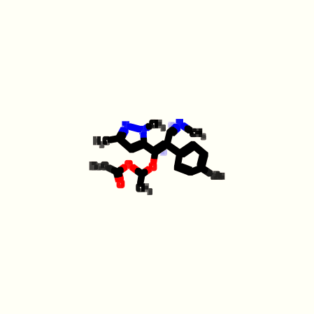 C/N=C\C(=C(\OC(C)OC(=O)OCC(C)C)c1cc(C)nn1C)c1ccc(C(C)(C)C)cc1